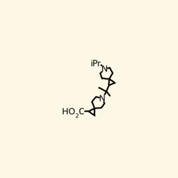 CC(C)N1CCC2(CC1)CC2C(C)(C)N1CCC2(CC1)CC2C(=O)O